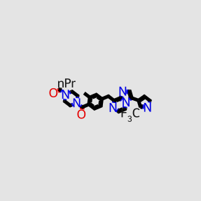 CCCC(=O)N1CCN(C(=O)c2ccc(Cc3nccn4c(C5=CCN=C5C(F)(F)F)cnc34)cc2C)CC1